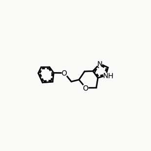 c1ccc(OCC2Cc3nc[nH]c3CO2)cc1